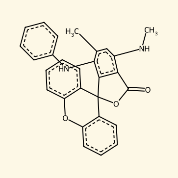 CNc1cc(C)c(Nc2ccccc2)c2c1C(=O)OC21c2ccccc2Oc2ccccc21